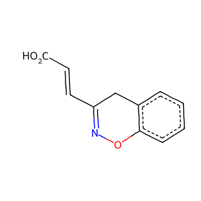 O=C(O)C=CC1=NOc2ccccc2C1